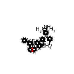 C[Si](C)(C)c1ccc(N(c2ccccc2)c2ccc3c(c2)[Si](C)(C)c2cccc4c(N(c5ccccc5)c5c(F)cc(-c6ccccc6)cc5-c5ccccc5)ccc-3c24)cc1